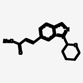 COC(=O)C=Cc1ccc2cnn(C3CCCCO3)c2c1